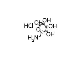 Cl.NC[C@H]1O[C@H](O)[C@@H](O)[C@@H](O)[C@@H]1O